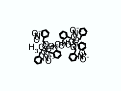 C[Si](OCc1ccccc1[N+](=O)[O-])(OCc1ccccc1[N+](=O)[O-])OCc1ccccc1[N+](=O)[O-].O=[N+]([O-])c1ccccc1CO[Si](OCc1ccccc1[N+](=O)[O-])(OCc1ccccc1[N+](=O)[O-])c1ccccc1